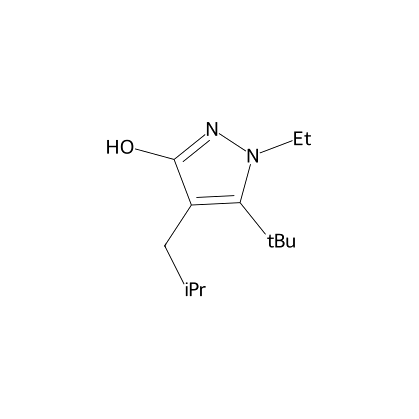 CCn1nc(O)c(CC(C)C)c1C(C)(C)C